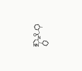 Cc1ccccc1CC(=O)N=C1C=CN=NC1c1ccccc1